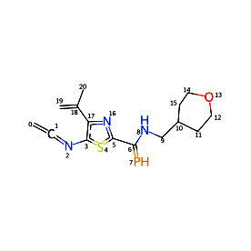 C=C=Nc1sc(C(=P)NCC2CCOCC2)nc1C(=C)C